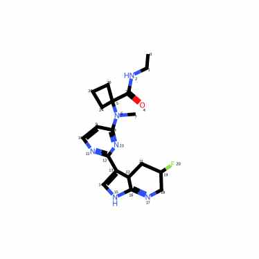 CCNC(=O)C1(N(C)c2ccnc(C3=CNC4=NCC(F)CC34)n2)CCC1